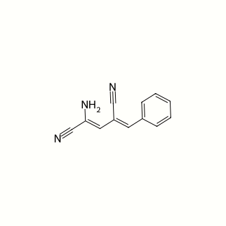 N#CC(N)=CC(C#N)=Cc1ccccc1